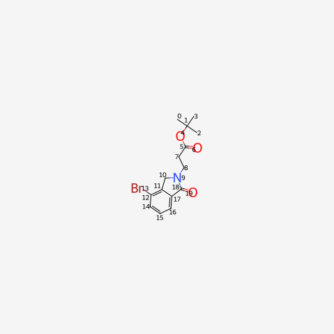 CC(C)(C)OC(=O)CCN1Cc2c(Br)cccc2C1=O